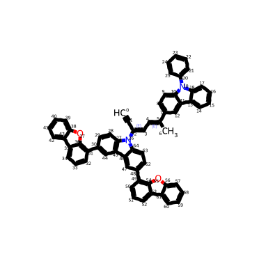 C#C/C(=C\C=C(/C)c1ccc2c(c1)c1ccccc1n2-c1ccccc1)n1c2ccc(-c3cccc4c3oc3ccccc34)cc2c2cc(-c3cccc4c3oc3ccccc34)ccc21